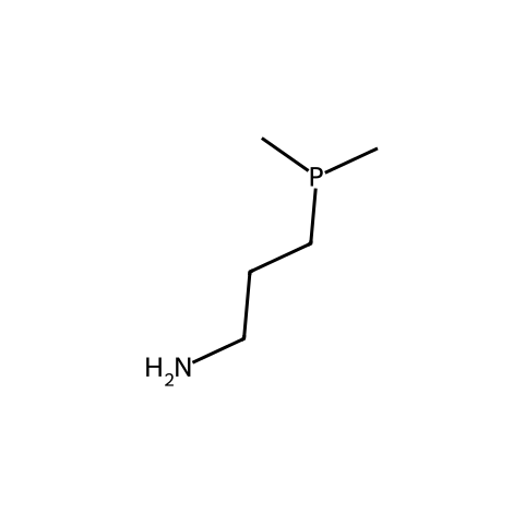 CP(C)CCCN